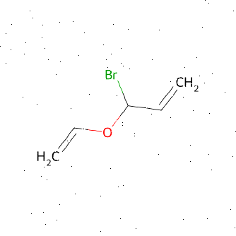 C=COC(Br)C=C